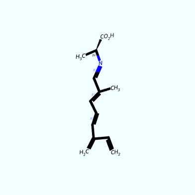 C=CC(=C)/C=C/C=C(C)/C=N/[C@@H](C)C(=O)O